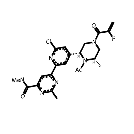 C=C(F)C(=O)N1C[C@H](C)N(C(C)=O)[C@H](c2cc(Cl)nc(-c3cc(C(=O)NC)nc(C)n3)c2)C1